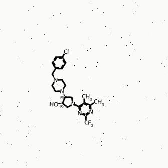 Cc1nc(C(F)(F)F)nc(N2C[C@@H](O)[C@H](N3CCN(Cc4ccc(Cl)cc4)CC3)C2)c1C